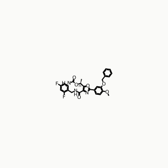 COc1ccc(-c2nc(C(=O)NCc3ccc(F)cc3F)c([C@H](C)OC(N)=O)o2)cc1OCc1ccccc1